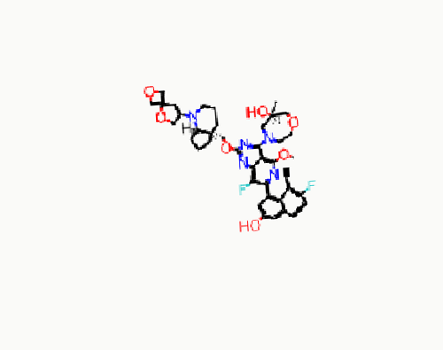 C#Cc1c(F)ccc2cc(O)cc(-c3nc(OC)c4c(N5CCOC[C@@](C)(O)C5)nc(OC[C@]56CCC[C@H]5N(C5COC7(COC7)C5)CCC6)nc4c3F)c12